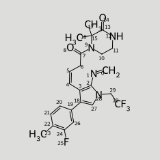 C=Nc1c(/C=C\CC(=O)N2CCNC(=O)C2(C)C)c(-c2ccc(C)c(F)c2)cn1CC(F)(F)F